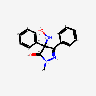 CN1N=C(c2ccccc2)C(NO)(c2ccccc2)C1=O